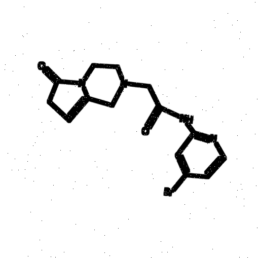 O=C(CN1CCN2C(=O)CC=C2C1)Nc1cc(Br)ccn1